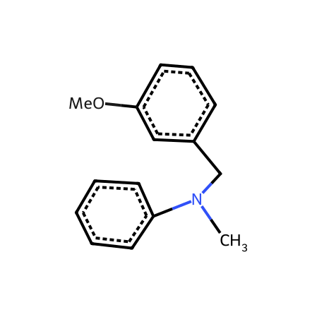 COc1cccc(CN(C)c2ccccc2)c1